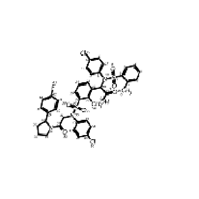 Cc1ccccc1S(=O)(=O)N(c1ccc(Cl)cc1)C(C(=O)O)c1cccc(S(=O)(=O)N(CC(=O)N2CCCC2c2ccc(F)cc2)c2ccc(Cl)cc2)c1C